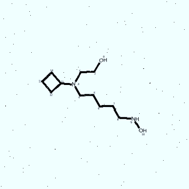 OCCN(CCCCCNO)C1CCC1